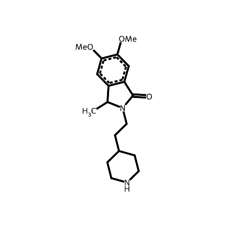 COc1cc2c(cc1OC)C(C)N(CCC1CCNCC1)C2=O